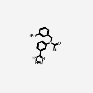 CCC(=O)N(Cc1cccc(C(C)(C)C)c1)c1cccc(-c2nnn[nH]2)c1